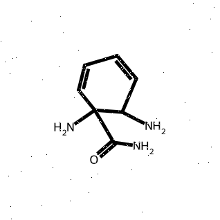 NC(=O)C1(N)C=CC=CC1N